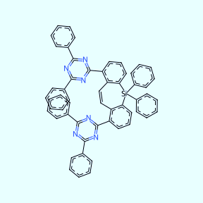 C1=Cc2c(-c3nc(-c4ccccc4)nc(-c4ccccc4)n3)cccc2[Si](c2ccccc2)(c2ccccc2)c2cccc(-c3nc(-c4ccccc4)nc(-c4ccccc4)n3)c21